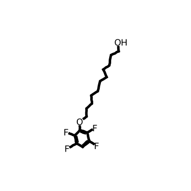 OCCCCCCCCCCCOc1c(F)c(F)cc(F)c1F